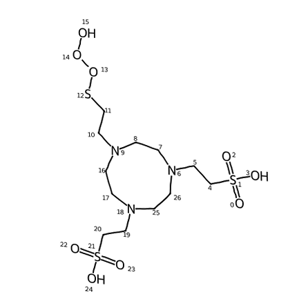 O=S(=O)(O)CCN1CCN(CCSOOO)CCN(CCS(=O)(=O)O)CC1